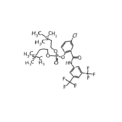 C[Si](C)(C)CCOP(=O)(OCC[Si](C)(C)C)Oc1ccc(Cl)cc1C(=O)Nc1cc(C(F)(F)F)cc(C(F)(F)F)c1